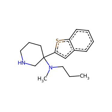 CCCN(C)C1(c2cc3ccccc3s2)CCCNC1